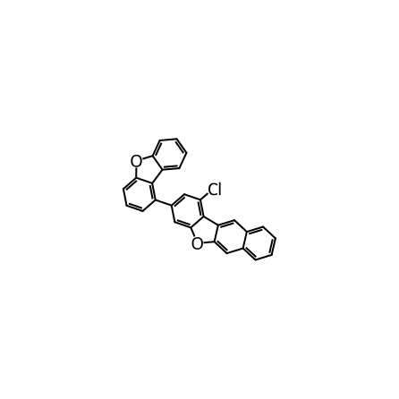 Clc1cc(-c2cccc3oc4ccccc4c23)cc2oc3cc4ccccc4cc3c12